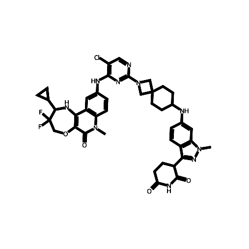 Cn1nc(C2CCC(=O)NC2=O)c2ccc(NC3CCC4(CC3)CN(c3ncc(Cl)c(Nc5ccc6c(c5)c5c(c(=O)n6C)OCC(F)(F)C(C6CC6)N5)n3)C4)cc21